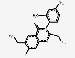 CCc1cc2c(=O)n(-c3ccc(C)cc3C)c(CC)nc2cc1F